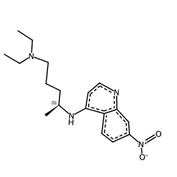 CCN(CC)CCC[C@H](C)Nc1ccnc2cc([N+](=O)[O-])ccc12